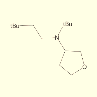 CC(C)(C)CCN(C1CCOC1)C(C)(C)C